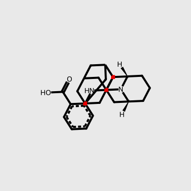 O=C(O)c1ccccc1NC1C[C@H]2CCC[C@@H](C1)N2C12CC3CC(CC(C3)C1)C2